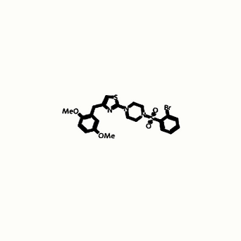 COc1ccc(OC)c(Cc2csc(N3CCN(S(=O)(=O)c4ccccc4Br)CC3)n2)c1